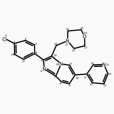 Clc1ccc(-c2nc3ccc(-c4cccnc4)cn3c2CN2CCOCC2)cc1